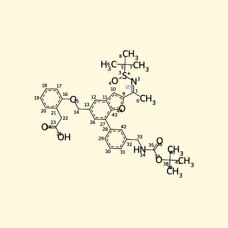 C/C(=N/[S+]([O-])C(C)(C)C)c1cc2cc(COc3ccccc3CC(=O)O)cc(-c3cccc(CNC(=O)OC(C)(C)C)c3)c2o1